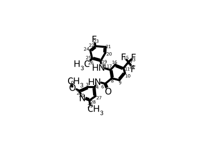 COc1cc(NC(=O)c2ccc(C(F)(F)F)cc2Nc2ccc(F)cc2C)cc(C)n1